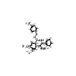 CNC(=O)[C@H](N[C@H](CCc1ccc(C(F)(F)F)cc1)c1ccc(C)c(C)c1)c1ccccc1